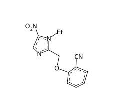 CCn1c([N+](=O)[O-])cnc1COc1ccccc1C#N